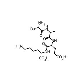 CC[C@H](C)[C@H](N)C(=O)N[C@@H](C)C(=O)N[C@@H](CCC(=O)O)C(=O)N[C@@H](CCCCN)C(=O)O